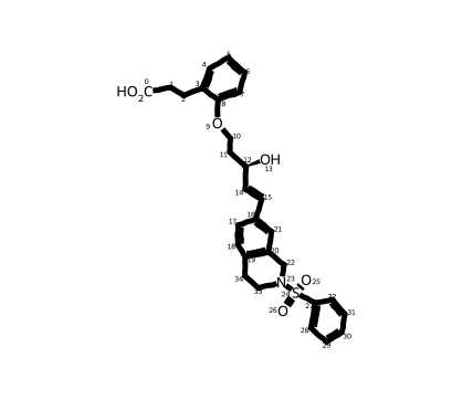 O=C(O)CCc1ccccc1OCC[C@@H](O)/C=C/c1ccc2c(c1)CN(S(=O)(=O)c1ccccc1)CC2